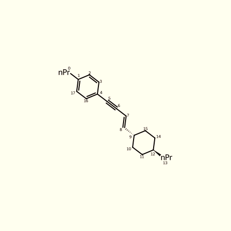 CCCc1ccc(C#CC=C[C@H]2CC[C@H](CCC)CC2)cc1